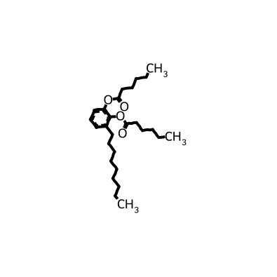 CCCCCCCCCc1cccc(OC(=O)CCCCC)c1OC(=O)CCCCC